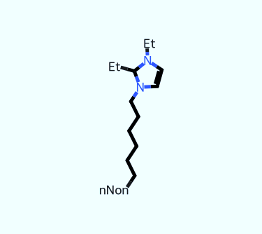 CCCCCCCCCCCCCCCN1C=CN(CC)C1CC